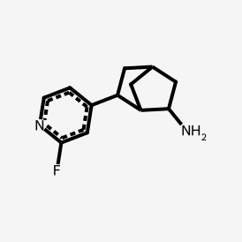 NC1CC2CC(c3ccnc(F)c3)C1C2